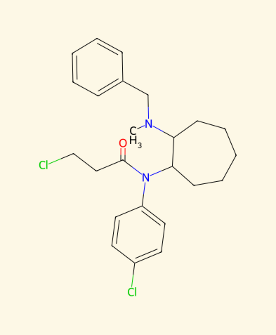 CN(Cc1ccccc1)C1CCCCCC1N(C(=O)CCCl)c1ccc(Cl)cc1